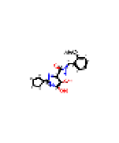 COc1ccccc1CNC(=O)c1nc(C2CCCC2)nc(O)c1O